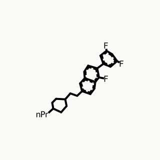 CCCC1CCC(CCc2ccc3c(F)c(-c4cc(F)cc(F)c4)ccc3c2)CC1